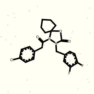 O=C1OC2(CCCCC2)N(C(=O)Cc2ccc(Cl)cc2)N1Cc1ccc(F)c(F)c1